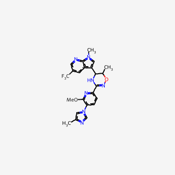 COc1nc(C2=NOC(C)C(c3cn(C)c4ncc(C(F)(F)F)cc34)N2)ccc1-n1cnc(C)c1